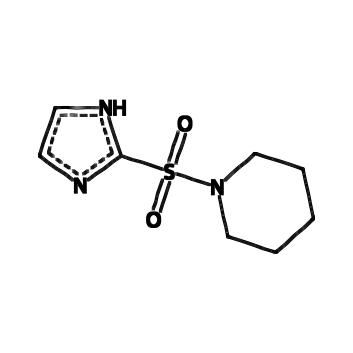 O=S(=O)(c1ncc[nH]1)N1CCCCC1